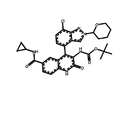 CC(C)(C)OC(=O)Nc1c(-c2ccc(Cl)c3nn(C4CCCCO4)cc23)c2cc(C(=O)NC3CC3)ccc2[nH]c1=O